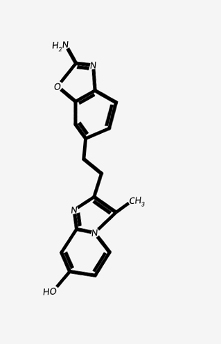 Cc1c(CCc2ccc3nc(N)oc3c2)nc2cc(O)ccn12